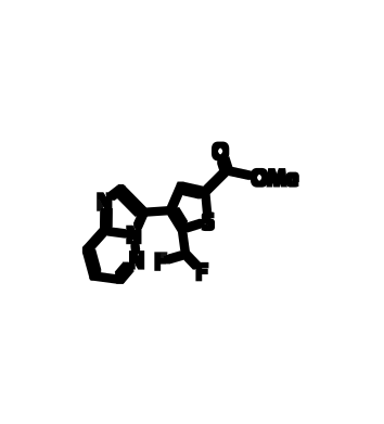 COC(=O)c1cc(-c2cnc3cccnn23)c(C(F)F)s1